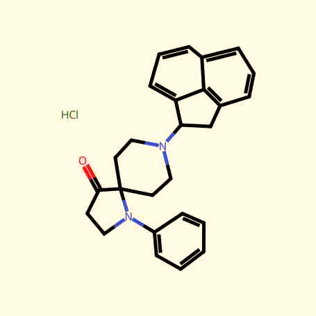 Cl.O=C1CCN(c2ccccc2)C12CCN(C1Cc3cccc4cccc1c34)CC2